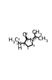 CNC1CCN(C(C)C)C1=O